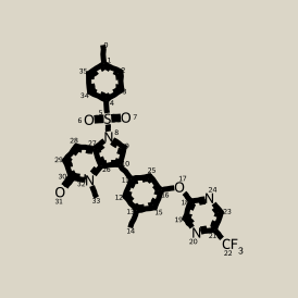 Cc1ccc(S(=O)(=O)n2cc(-c3cc(C)cc(Oc4cnc(C(F)(F)F)cn4)c3)c3c2ccc(=O)n3C)cc1